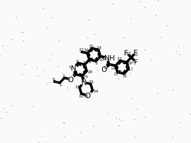 CCCOc1ncc(-c2cc(NC(=O)c3cccc(C(F)(F)F)c3)ccc2C)cc1N1CCOCC1